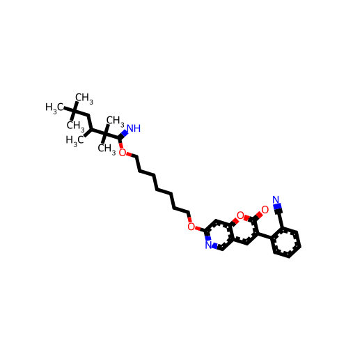 CC(CC(C)(C)C)C(C)(C)C(=N)OCCCCCCCOc1cc2oc(=O)c(-c3ccccc3C#N)cc2cn1